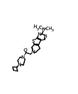 CN(C)c1ncc2c3c(sc2n1)CN(CC(=O)N1CCN(C2CCC2)CC1)CC3